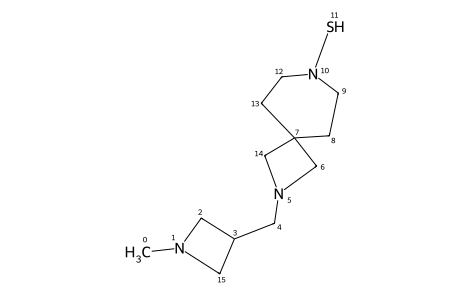 CN1CC(CN2CC3(CCN(S)CC3)C2)C1